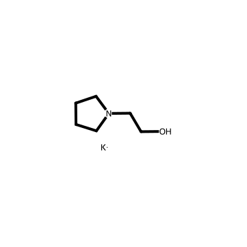 OCCN1CCCC1.[K]